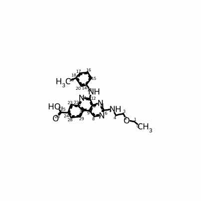 CCOCCNc1ncc2c(n1)c(Nc1cccc(C)c1)nc1cc(C(=O)O)ccc12